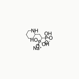 O=P([O-])(O)C(CC1CCCCN1)P(=O)(O)O.[Na+]